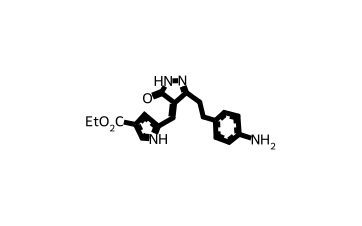 CCOC(=O)c1c[nH]c(C=C2C(=O)NN=C2CCc2ccc(N)cc2)c1